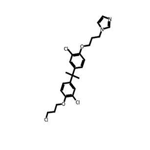 CC(C)(c1ccc(OCCCCl)c(Cl)c1)c1ccc(OCCCn2ccnc2)c(Cl)c1